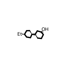 CC[C@H]1CC[C@@H]([C@@H]2CCC[C@@H](O)C2)CC1